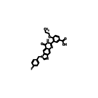 CCCOc1ccc(C(=O)O)cc1-c1nc2cc3ncn(Cc4ccc(F)cc4)c3cc2c(=O)[nH]1